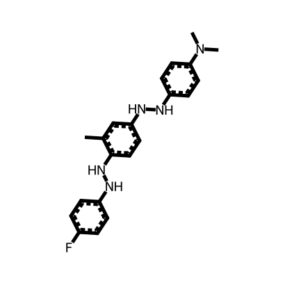 Cc1cc(NNc2ccc(N(C)C)cc2)ccc1NNc1ccc(F)cc1